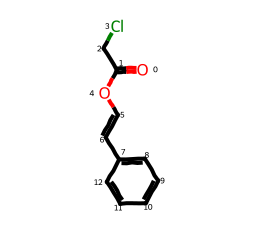 O=C(CCl)OC=Cc1ccccc1